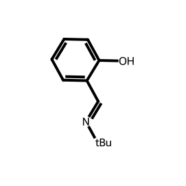 CC(C)(C)N=Cc1ccccc1O